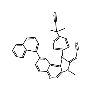 Cn1/c(=N/C#N)n(-c2ccc(C(C)(C)C#N)nc2)c2c3cc(-c4cccc5ccccc45)ccc3ncc21